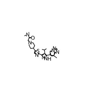 Cc1cc(-c2[nH]nc(-c3ncc(C4CCN(CC(=O)N(C)C)CC4)s3)c2C(C)C)cn2ncnc12